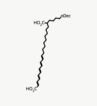 CCCCCCCCCCCCCCC(CCCCCCCCCC=CC=CC=CC=CC=CC(=O)O)C(=O)O